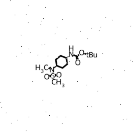 CN([C@H]1CC[C@H](NC(=O)OC(C)(C)C)CC1)S(C)(=O)=O